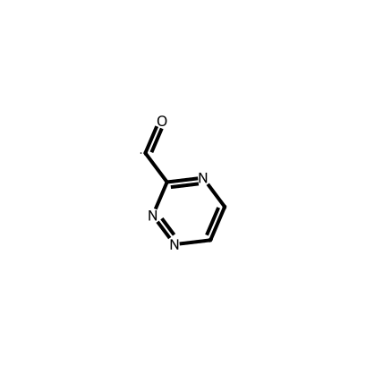 O=[C]c1nccnn1